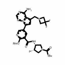 COc1ncc(-c2cc(CN3CC(F)(F)C3)c3c(N)ncnn23)cc1C(=O)N[C@@H]1CN(C(=O)C(C)(C)C)C[C@@H]1F